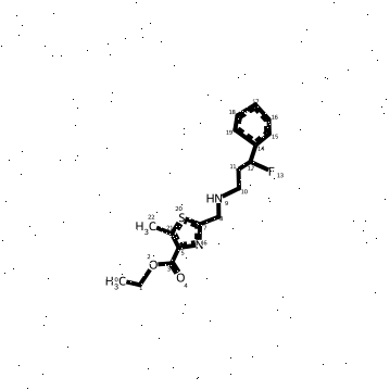 CCOC(=O)c1nc(CNCCC(F)c2ccccc2)sc1C